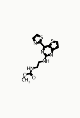 COC(=O)NCCNc1nc(-c2nccs2)c2sccc2n1